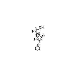 CC(CO)Nc1nc2[nH]c(SCc3ccccc3)nc(=O)c2s1